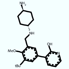 COc1c(CN[C@H]2CC[C@H](N)CC2)cc(-c2cccnc2O)cc1C(C)(C)C